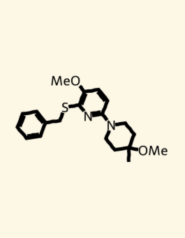 COc1ccc(N2CCC(C)(OC)CC2)nc1SCc1ccccc1